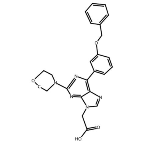 O=C(O)Cn1cnc2c(-c3cccc(OCc4ccccc4)c3)nc(N3CCOCC3)nc21